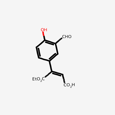 CCOC(=O)C(=CC(=O)O)c1ccc(O)c(C=O)c1